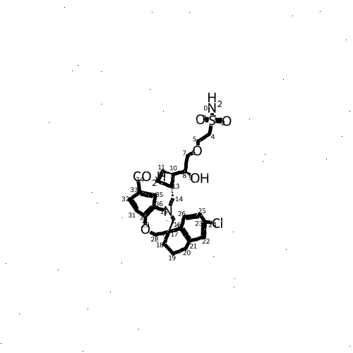 NS(=O)(=O)CCOC[C@@H](O)[C@@H]1CC[C@H]1CN1C[C@@]2(CCCc3cc(Cl)ccc32)COc2ccc(C(=O)O)cc21